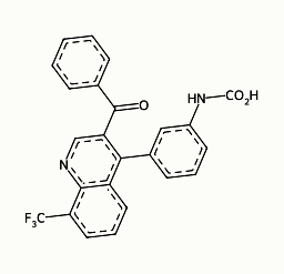 O=C(O)Nc1cccc(-c2c(C(=O)c3ccccc3)cnc3c(C(F)(F)F)cccc23)c1